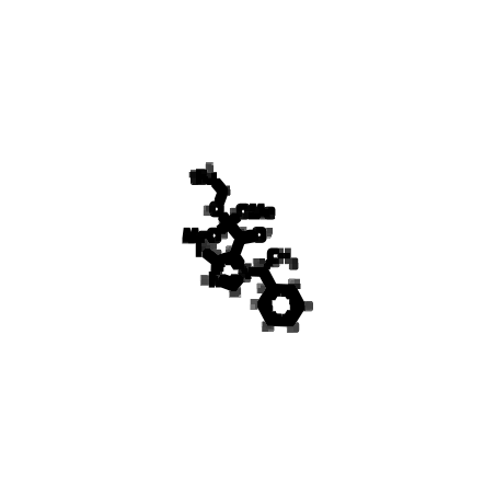 COC(OC)(OCC(C)(C)C)C(=O)c1c(F)ncn1[C@H](C)c1ccccc1